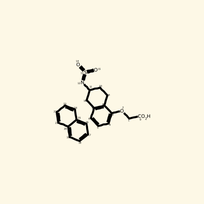 O=C(O)COc1cccc2c1CCC(N=S(=O)=O)C2.c1ccc2ccccc2c1